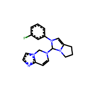 Fc1cccc(N2C=C3CCCN3C2N2C=Cc3nccn3C2)c1